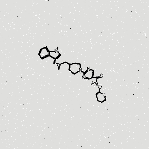 CN(Cc1cn(C)c2ccccc12)CC1CCN(c2ncc(C(=O)NOC3CCCCO3)cn2)CC1